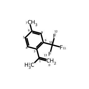 C=C(C)c1ccc(C)cc1C(F)(F)F